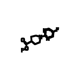 O=C(OF)C1CCN(c2ncc(F)cn2)CC1